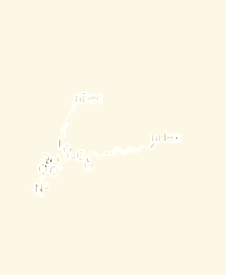 CCCCCC/C=C\CCCCCCCCCC(=O)OCC(COP(=O)([O-])OCC[N+](C)(C)C)O/C=C\CCCCCCCCCCCCCCCC